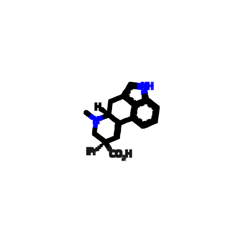 CC(C)[C@@]1(C(=O)O)C=C2c3cccc4[nH]cc(c34)C[C@H]2N(C)C1